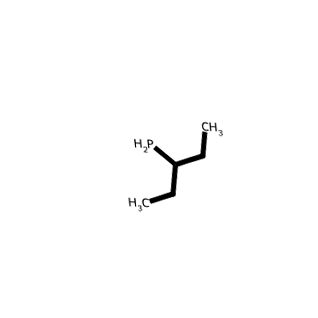 CCC(P)CC